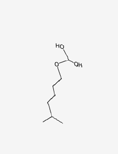 CC(C)CCCCOC(O)O